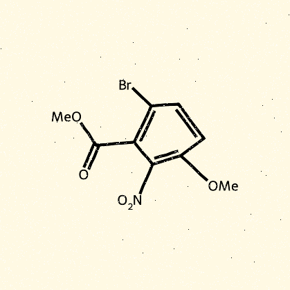 COC(=O)c1c(Br)ccc(OC)c1[N+](=O)[O-]